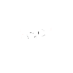 CCCCC(C)[C@@]1(c2ccc(O)cc2)C=CC(C(=O)O)=C(CC)C1